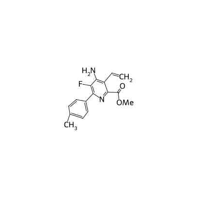 C=Cc1c(C(=O)OC)nc(-c2ccc(C)cc2)c(F)c1N